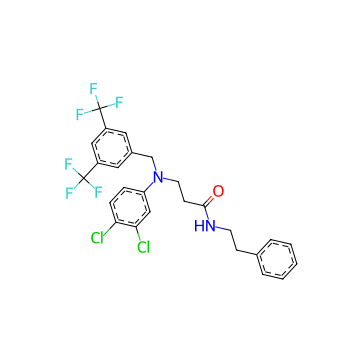 O=C(CCN(Cc1cc(C(F)(F)F)cc(C(F)(F)F)c1)c1ccc(Cl)c(Cl)c1)NCCc1ccccc1